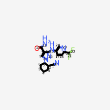 N#CC1CCCCC1n1cc(C(N)=O)c(Nc2ccc(C(F)F)nc2)n1